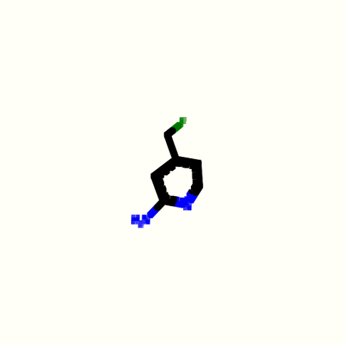 Nc1cc(CF)ccn1